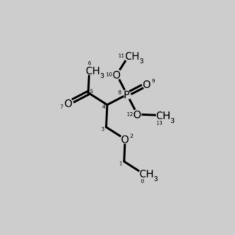 CCOCC(C(C)=O)P(=O)(OC)OC